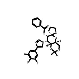 CC1(C)OC[C@H]2O[C@@]3(CCCO3)[C@@H](OC(=O)c3ccccc3)[C@@H](n3cc(-c4cc(F)c(F)c(F)c4)nn3)[C@H]2O1